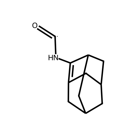 O=[C]NC1=C2CC3CC(C2)CC1C3